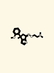 COc1ccccc1C1(C)CC(=NOCCN(C)C)c2sccc21